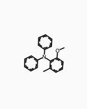 COc1cccc(C)c1N(c1ccccc1)c1ccccc1